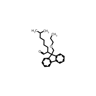 CCCOCC1(C(C=O)CCCCC(C)C)c2ccccc2-c2ccccc21